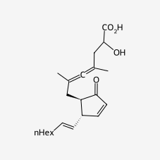 CCCCCCC=C[C@H]1C=CC(=O)[C@@H]1CC(C)=C=C(C)CC(O)C(=O)O